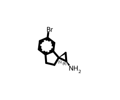 N[C@@H]1C[C@]12CCc1ccc(Br)cc12